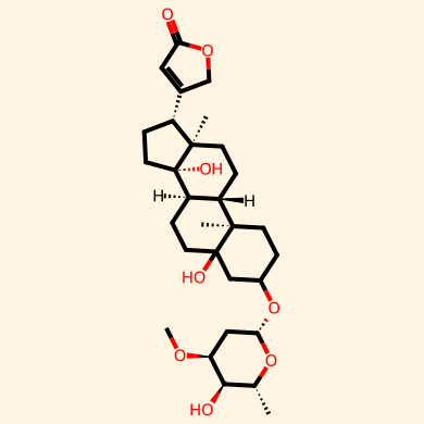 CO[C@H]1C[C@H](OC2CC[C@]3(C)[C@H]4CC[C@]5(C)[C@@H](C6=CC(=O)OC6)CC[C@]5(O)[C@@H]4CCC3(O)C2)O[C@H](C)[C@H]1O